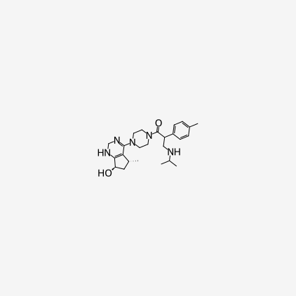 Cc1ccc(C(CNC(C)C)C(=O)N2CCN(C3=NCNC4=C3[C@H](C)C[C@H]4O)CC2)cc1